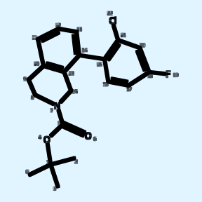 CC(C)(C)OC(=O)N1CCc2cccc(-c3ccc(F)cc3Cl)c2C1